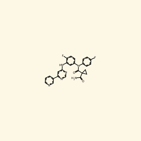 NC(=O)C1(C(=O)N(c2ccc(F)cc2)c2ccc(F)c(Nc3cc(-c4cccnc4)ncn3)c2)CC1